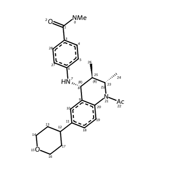 CNC(=O)c1ccc(N[C@H]2c3cc(C4CCOCC4)ccc3N(C(C)=O)[C@@H](C)[C@@H]2C)cc1